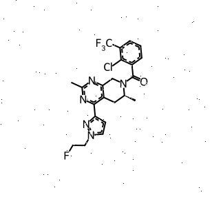 Cc1nc2c(c(-c3ccn(CCF)n3)n1)C[C@H](C)N(C(=O)c1cccc(C(F)(F)F)c1Cl)C2